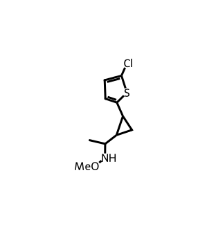 CONC(C)C1CC1c1ccc(Cl)s1